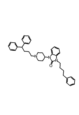 O=c1n(CCCCc2ccccc2)c2ccccc2n1C1CCN(CCCC(c2ccccc2)c2ccccc2)CC1